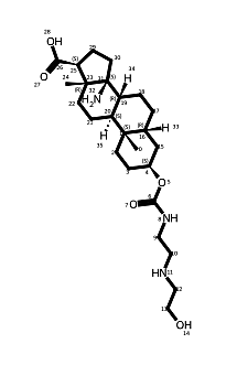 C[C@]12CC[C@H](OC(=O)NCCNCCO)C[C@H]1CC[C@@H]1[C@@H]2CC[C@]2(C)[C@@H](C(=O)O)CC[C@]12N